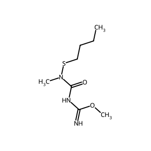 CCCCSN(C)C(=O)NC(=N)OC